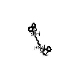 O=S(=O)(NCCCCCCNc1nc2c(s1)CCSc1ccccc1-2)c1cccc2ccccc12